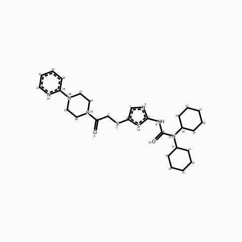 O=C(CSc1cnc(NC(=O)N(C2CCCCC2)C2CCCCC2)s1)N1CCN(c2ccccn2)CC1